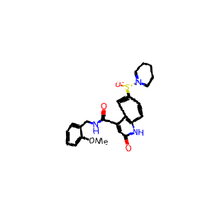 COc1ccccc1CNC(=O)c1cc(=O)[nH]c2ccc([S+]([O-])N3CCCCC3)cc12